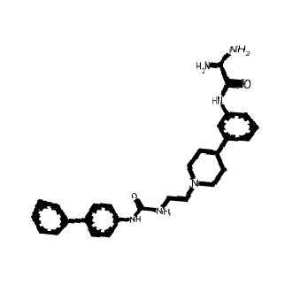 NC(N)C(=O)Nc1cccc(C2CCN(CCNC(=O)Nc3ccc(-c4ccccc4)cc3)CC2)c1